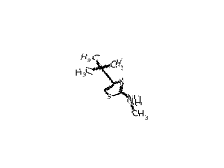 CNc1nc(C(C)(C)C)cs1